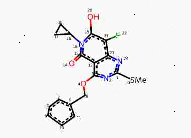 CSc1nc(OCc2ccccc2)c2c(=O)n(C3CC3)c(O)c(F)c2n1